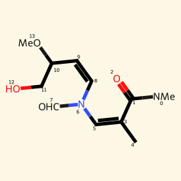 CNC(=O)/C(C)=C\N(C=O)/C=C\C(CO)OC